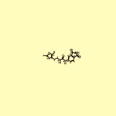 Cc1nc(CCNC(=O)Nc2ccc3c(c2)C(=O)NC3=O)c(C)o1